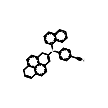 N#Cc1ccc(N(C2=Cc3ccc4c5c(ccc(c35)C2)CC=C4)c2cccc3ccccc23)cc1